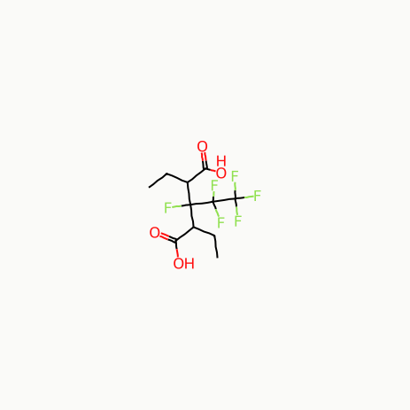 CCC(C(=O)O)C(F)(C(CC)C(=O)O)C(F)(F)C(F)(F)F